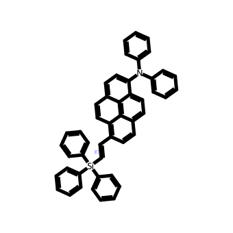 C(=C\[Si](c1ccccc1)(c1ccccc1)c1ccccc1)/c1ccc2ccc3c(N(c4ccccc4)c4ccccc4)ccc4ccc1c2c43